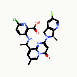 Cc1cc([C@@H](C)Nc2ccc(Cl)nc2C(=O)O)c2nc(N3Cc4cc(F)cnc4[C@H]3C)cc(=O)n2c1